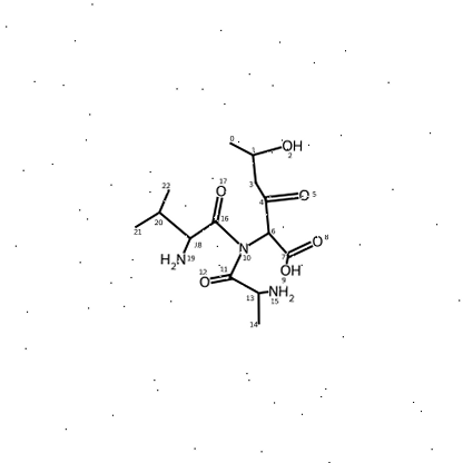 CC(O)CC(=O)C(C(=O)O)N(C(=O)C(C)N)C(=O)C(N)C(C)C